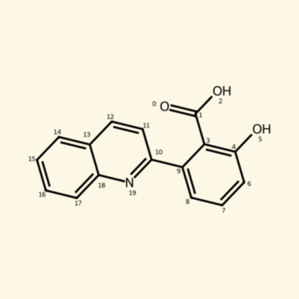 O=C(O)c1c(O)cccc1-c1ccc2ccccc2n1